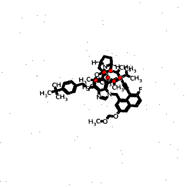 COCOc1cc(Cn2cnc3c(SCc4ccc(C(C)(C)C)cc4)nc(N4C[C@H]5CC[C@@H](C4)N5C(=O)OC(C)(C)C)c(C#N)c32)c2c(C#C[Si](C(C)C)(C(C)C)C(C)C)c(F)ccc2c1